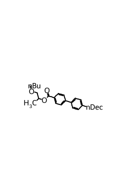 CCCCCCCCCCc1ccc(-c2ccc(C(=O)OC(C)COCCCC)cc2)cc1